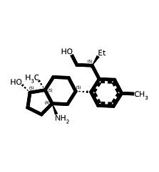 CC[C@H](CO)c1cc(C)ccc1[C@H]1CC[C@]2(C)[C@@H](O)CC[C@@]2(N)C1